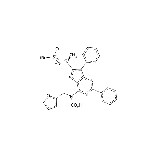 C[C@H](N[S@+]([O-])C(C)(C)C)c1sc2c(N(Cc3ccco3)C(=O)O)nc(-c3ccccc3)nc2c1-c1ccccc1